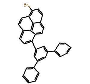 Brc1ccc2ccc3c(-c4cc(-c5ccccc5)cc(-c5ccccc5)c4)ccc4ccc1c2c43